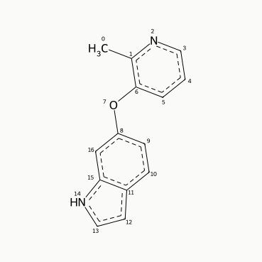 Cc1ncccc1Oc1ccc2cc[nH]c2c1